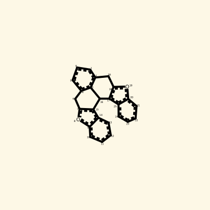 c1cc2c3c(c1)Cc1oc4ccccc4c1C3c1c(oc3ccccc13)C2